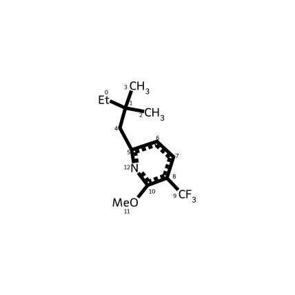 CCC(C)(C)Cc1ccc(C(F)(F)F)c(OC)n1